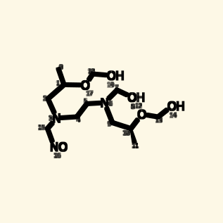 CC(CN(CCN(CO)C[C@H](C)OCO)CN=O)OCO